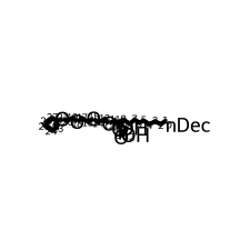 CCCCCCCCCCCCCCCCCCCC(COCCOCCOCCOc1ccccc1)OP(=O)(O)O